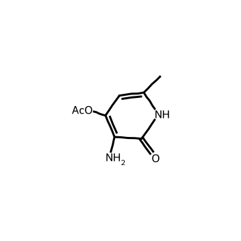 CC(=O)Oc1cc(C)[nH]c(=O)c1N